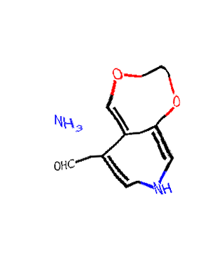 N.O=CC1=CNC=C2OCOC=C12